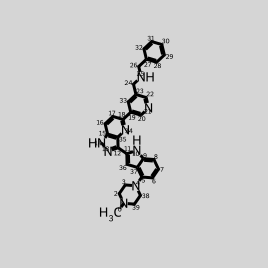 CN1CCN(c2cccc3[nH]c(-c4n[nH]c5ccc(-c6cncc(CNCc7ccccc7)c6)nc45)cc23)CC1